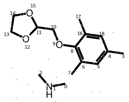 CNC.Cc1cc(C)c(OCC2OCCO2)c(C)c1